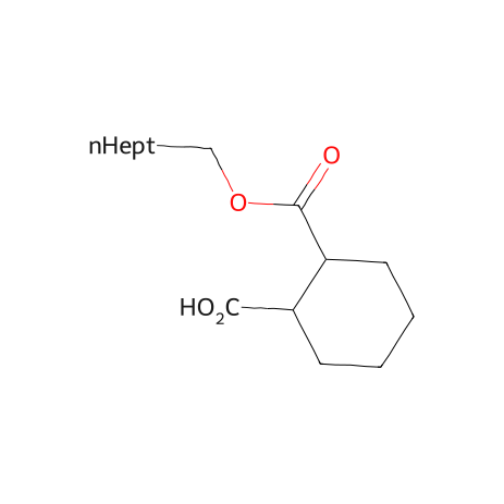 CCCCCCCCOC(=O)C1CCCCC1C(=O)O